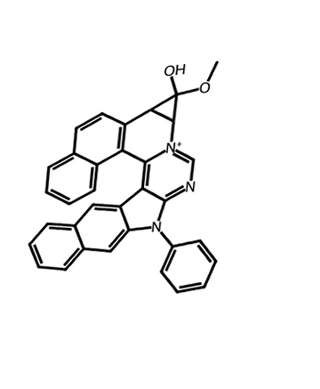 COC1(O)C2c3ccc4ccccc4c3-c3c4c5cc6ccccc6cc5n(-c5ccccc5)c4nc[n+]3C21